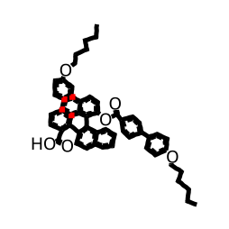 CCCCCCOc1ccc(-c2ccc(C(=O)Oc3ccc4ccccc4c3-c3c(-c4cc(-c5ccc(OCCCCCC)cc5)ccc4C(=O)O)ccc4ccccc34)cc2)cc1